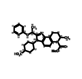 COC(=O)N1c2ccc3c(nc([C@H](C)Oc4ccccn4)n3C3CCC(C(=O)O)CC3)c2CCC1C